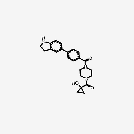 O=C(c1ccc(-c2ccc3c(c2)CCN3)cc1)N1CCN(C(=O)C2(O)CC2)CC1